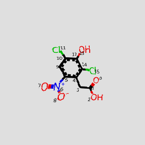 O=C(O)Cc1c([N+](=O)[O-])cc(Cl)c(O)c1Cl